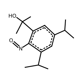 CC(C)c1cc(C(C)C)c(N=O)c(C(C)(C)O)c1